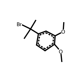 COc1ccc(C(C)(C)Br)cc1OC